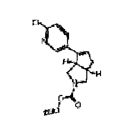 CC(C)(C)OC(=O)N1C[C@H]2CC=C(c3ccc(Cl)nc3)[C@H]2C1